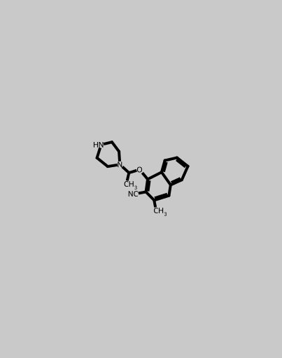 Cc1cc2ccccc2c(OC(C)N2CCNCC2)c1C#N